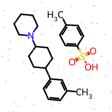 Cc1ccc(S(=O)(=O)O)cc1.Cc1cccc(C2CCC(N3CCCCC3)CC2)c1